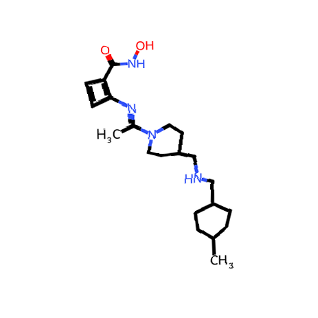 C/C(=N\C1=C(C(=O)NO)C=C1)N1CCC(CNCC2CCC(C)CC2)CC1